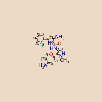 Cn1ncc(NC(=O)c2nc(-c3cccc(F)c3F)sc2N)c1[C@@H]1CC[C@@H](N)[C@H](F)CO1